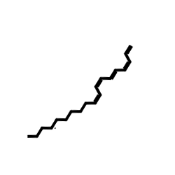 C=C\C=C/C=C/C=C\C=C/CCCCC[CH]CCC